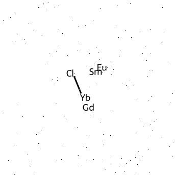 [Cl][Yb].[Eu].[Gd].[Sm]